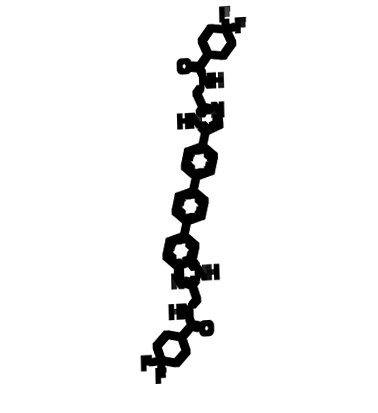 O=C(NCc1ncc(-c2ccc(-c3ccc(-c4ccc5nc(CNC(=O)C6CCC(F)(F)CC6)[nH]c5c4)cc3)cc2)[nH]1)C1CCC(F)(F)CC1